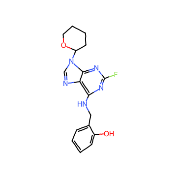 Oc1ccccc1CNc1nc(F)nc2c1ncn2C1CCCCO1